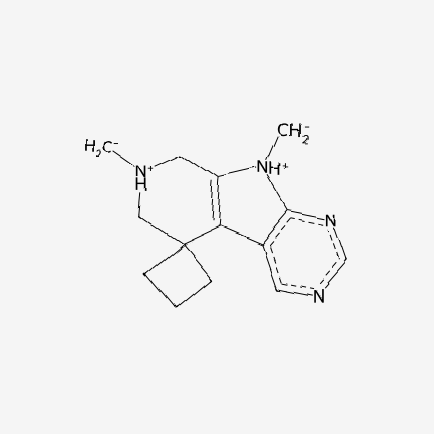 [CH2-][NH+]1CC2=C(c3cncnc3[NH+]2[CH2-])C2(CCC2)C1